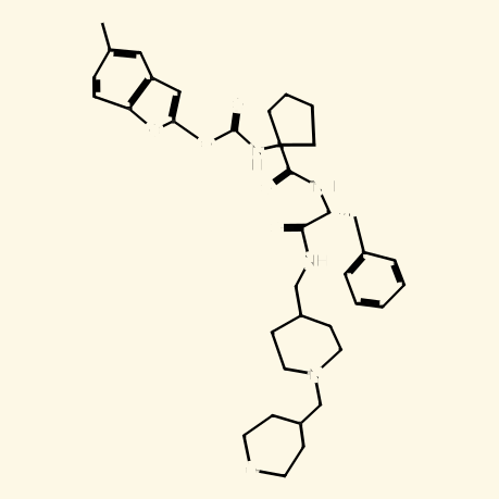 Cc1ccc2oc(OC(=O)NC3(C(=O)N[C@H](Cc4ccccc4)C(=O)NCC4CCN(CC5CCOCC5)CC4)CCCC3)cc2c1